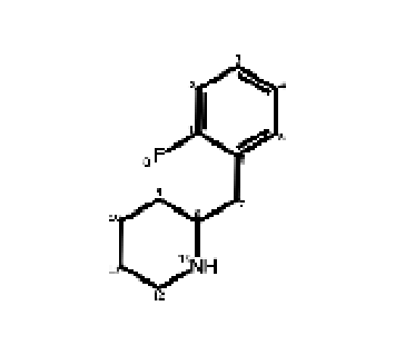 Fc1ccccc1CC1CCCCN1